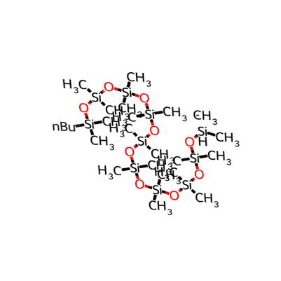 CCCC[Si](C)(C)O[Si](C)(C)O[Si](C)(C)O[Si](C)(C)O[Si](C)(C)O[Si](C)(C)O[Si](C)(C)O[Si](C)(C)O[Si](C)(C)O[SiH](C)C